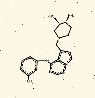 Cc1cccc(Nc2ncnn3ccc(CN4CC[C@H](N)[C@H](O)C4)c23)c1